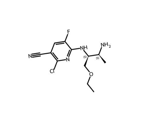 CCOC[C@@H](Nc1nc(Cl)c(C#N)cc1F)[C@H](C)N